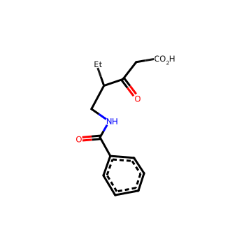 CCC(CNC(=O)c1ccccc1)C(=O)CC(=O)O